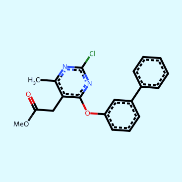 COC(=O)Cc1c(C)nc(Cl)nc1Oc1cccc(-c2ccccc2)c1